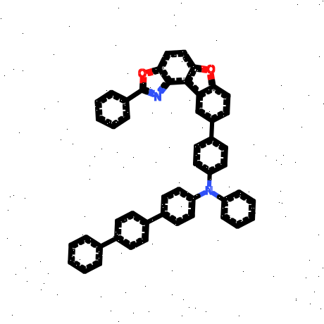 c1ccc(-c2ccc(-c3ccc(N(c4ccccc4)c4ccc(-c5ccc6oc7ccc8oc(-c9ccccc9)nc8c7c6c5)cc4)cc3)cc2)cc1